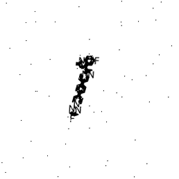 Cc1cc(-c2cnc3cc(-c4ccc(C5CCN(c6ncc(F)cn6)CC5)cc4)ccn23)c2cc(F)ccc2n1